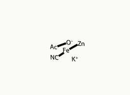 CC(=O)[O-].N#[C][Fe][Zn].[K+]